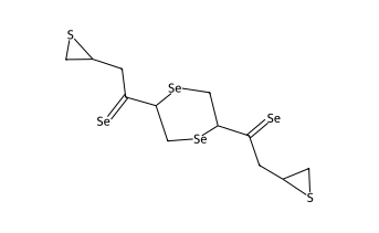 [Se]=C(CC1CS1)C1C[Se]C(C(=[Se])CC2CS2)C[Se]1